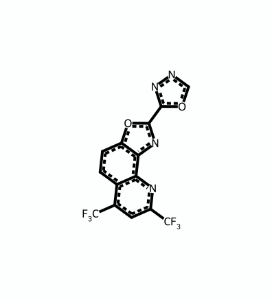 FC(F)(F)c1cc(C(F)(F)F)c2ccc3oc(-c4nnco4)nc3c2n1